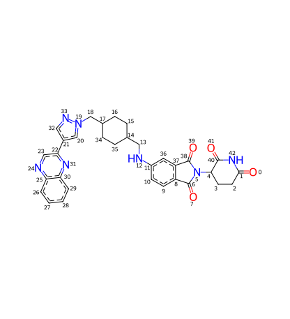 O=C1CCC(N2C(=O)c3ccc(NCC4CCC(Cn5cc(-c6cnc7ccccc7n6)cn5)CC4)cc3C2=O)C(=O)N1